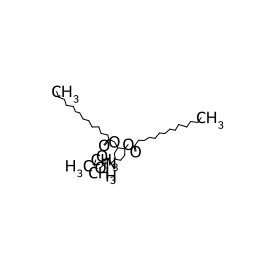 CCCCCCCCCCCCCC(=O)OC1CCC(NC(=O)OC(C)(C)C)CC1OC(=O)CCCCCCCCCCCCC